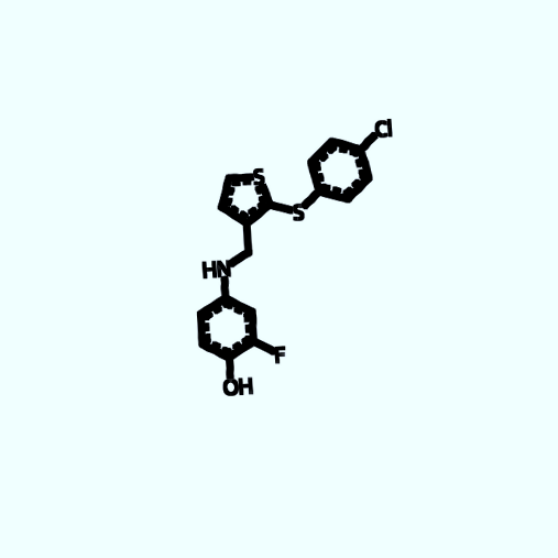 Oc1ccc(NCc2ccsc2Sc2ccc(Cl)cc2)cc1F